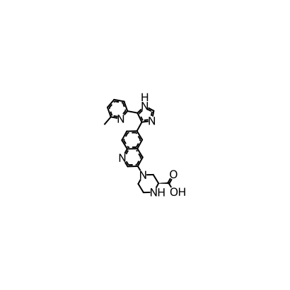 Cc1cccc(-c2[nH]cnc2-c2ccc3ncc(N4CCN[C@H](C(=O)O)C4)cc3c2)n1